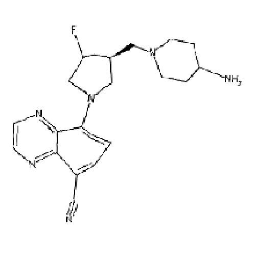 N#Cc1ccc(N2CC(F)[C@@H](CN3CCC(N)CC3)C2)c2nccnc12